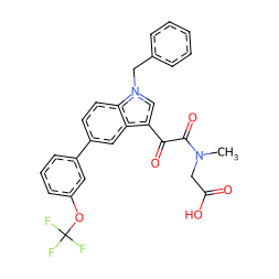 CN(CC(=O)O)C(=O)C(=O)c1cn(Cc2ccccc2)c2ccc(-c3cccc(OC(F)(F)F)c3)cc12